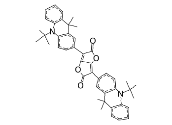 CC1(C)c2ccccc2N(C(C)(C)C)c2ccc(C3=C4OC(=O)C(c5ccc6c(c5)C(C)(C)c5ccccc5N6C(C)(C)C)=C4OC3=O)cc21